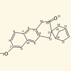 COc1ccc2cc3c(cc2c1)CC1(CC2=CCC1C2)C(=O)C3